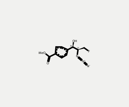 COC(=O)c1ccc([C@@H](O)[C@@H](CF)N=[N+]=[N-])cc1